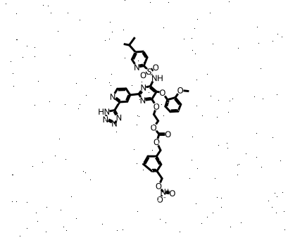 COc1ccccc1Oc1c(NS(=O)(=O)c2ccc(C(C)C)cn2)nc(-c2ccnc(-c3nnn[nH]3)c2)nc1OCCOC(=O)OCc1cccc(CO[N+](=O)[O-])c1